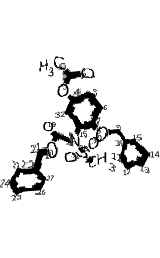 CC(=O)Oc1ccc(OCc2ccccc2)c(N(C(=O)OCc2ccccc2)S(C)(=O)=O)c1